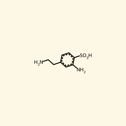 NCCc1ccc(S(=O)(=O)O)c(N)c1